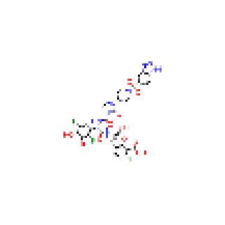 O=C(O)c1c(F)ccc2c1OB(O)[C@@H](NC(=O)C(NC(=O)N1CCN(C3CCN(S(=O)(=O)c4ccc5[nH]nnc5c4)CC3)C1=O)c1cc(F)c(O)c(O)c1F)C2